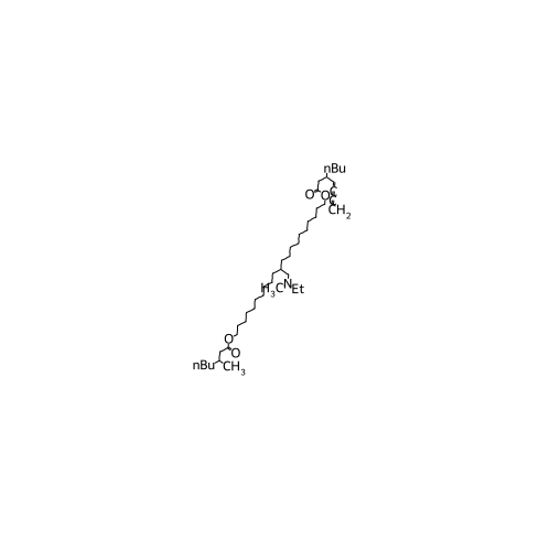 C=C=C=CC(CCCC)CC(=O)OCCCCCCCCCCC(CCCCCCCCCCOC(=O)CC(C)CCCC)CN(C)CC